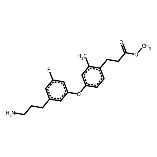 COC(=O)CCc1ccc(Oc2cc(F)cc(CCCN)c2)cc1C